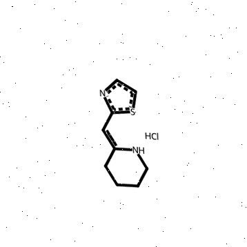 C(=C1CCCCN1)c1nccs1.Cl